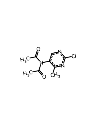 CC(=O)N(C(C)=O)c1cnc(Cl)nc1C